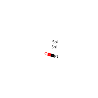 [O]=[Pt].[Sb].[Sn]